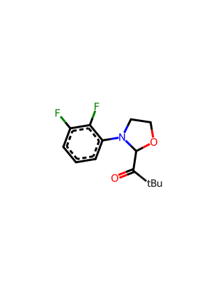 CC(C)(C)C(=O)C1OCCN1c1cccc(F)c1F